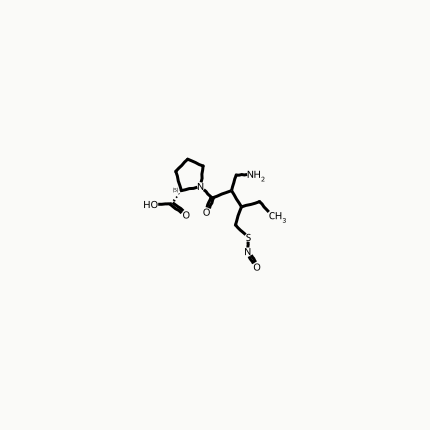 CCC(CSN=O)C(CN)C(=O)N1CCC[C@H]1C(=O)O